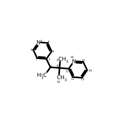 CC(c1ccncc1)C(C)(C)c1ccccn1